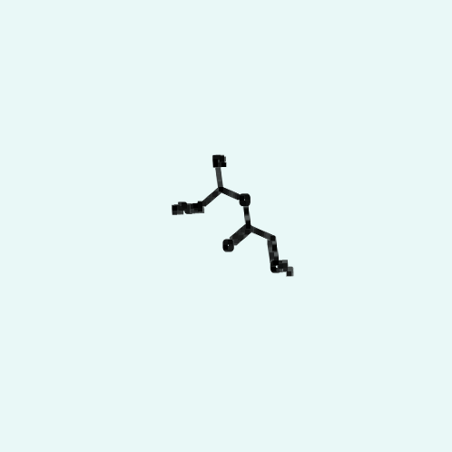 C=CC(=O)OC(CC)CCCCC